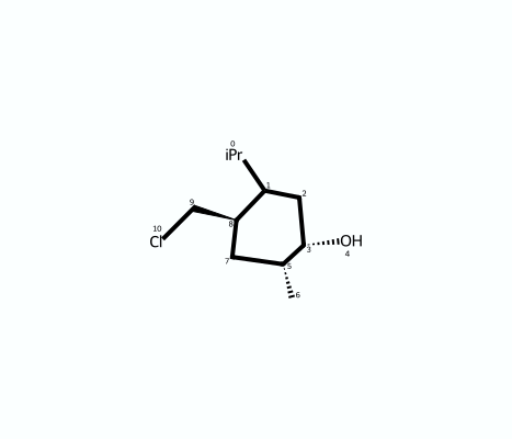 CC(C)C1C[C@H](O)[C@H](C)C[C@H]1CCl